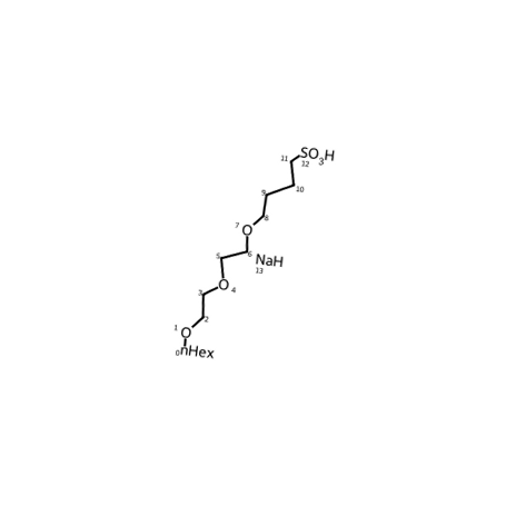 CCCCCCOCCOCCOCCCCS(=O)(=O)O.[NaH]